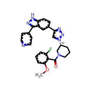 COc1cccc(F)c1C(=O)N1CCC[C@@H](n2cc(-c3ccc4[nH]nc(-c5ccncc5)c4c3)nn2)C1